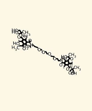 CC(O)C(=O)c1c(I)c(C(=O)NC(C)(CO)CO)c(I)c(C(=O)N(N)CCCOCOCCOCCOCCN(N)C(=O)c2c(I)c(C(=O)NC(C)(CO)CO)c(I)c(C(=O)C(C)O)c2I)c1I